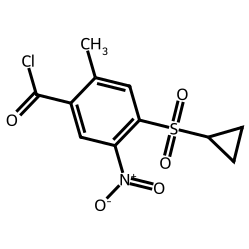 Cc1cc(S(=O)(=O)C2CC2)c([N+](=O)[O-])cc1C(=O)Cl